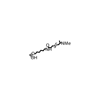 CNC(C)CSSCCC(=O)NCCCCCCOP(C)O